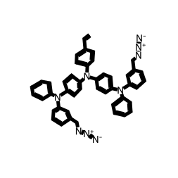 C=Cc1ccc(N(c2ccc(N(c3ccccc3)c3cccc(CN=[N+]=[N-])c3)cc2)c2ccc(N(c3ccccc3)c3cccc(CN=[N+]=[N-])c3)cc2)cc1